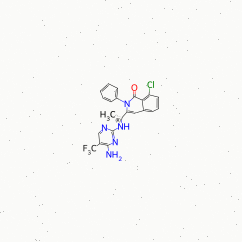 C[C@@H](Nc1ncc(C(F)(F)F)c(N)n1)c1cc2cccc(Cl)c2c(=O)n1-c1ccccc1